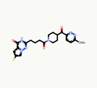 COc1ccc(C(=O)C2CCN(C(=O)CCCc3nn4cc(F)cc4c(=O)[nH]3)CC2)nn1